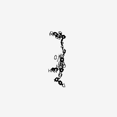 CC1(C)CCC(CN2CCN(c3ccc(C(=O)NS(=O)(=O)c4ccc(NCC5CCCN(CCOCCOCC#Cc6cccc7c6C(=O)N(C6CCC(=O)NC6=O)C7=O)C5)c([N+](=O)[O-])c4)c(Oc4cnc5[nH]ccc5c4)c3)CC2)=C(c2ccc(Cl)cc2)C1